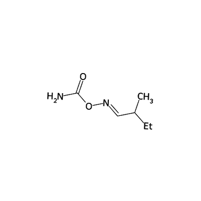 CCC(C)C=NOC(N)=O